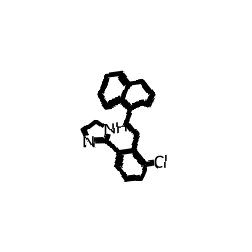 Clc1cccc(C2=NCCN2)c1CCc1cccc2ccccc12